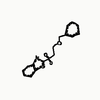 O=S(=O)(CCOCc1ccccc1)c1nc2ccccc2s1